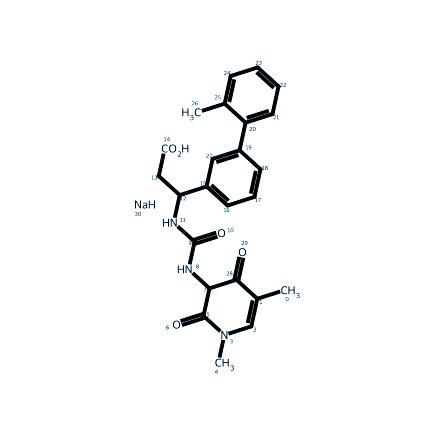 CC1=CN(C)C(=O)C(NC(=O)NC(CC(=O)O)c2cccc(-c3ccccc3C)c2)C1=O.[NaH]